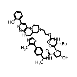 Cc1ncsc1-c1ccc([C@H](C)NC(=O)[C@@H]2C[C@@H](O)CN2C(=O)[C@H](NC(=O)OCCN2CCN3c4cc(-c5ccccc5O)nnc4NCC3C2)C(C)(C)C)cc1